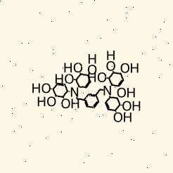 O[C@H]1[C@H](O)[C@@H](N(Cc2cccc(CN([C@H]3C=C[C@@H](O)[C@@H](O)[C@@H]3O)[C@H]3C=C[C@@H](O)[C@@H](O)[C@@H]3O)c2)[C@H]2C=C[C@@H](O)[C@@H](O)[C@@H]2O)C=C[C@H]1O